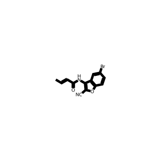 CC=CC(=O)Nc1c(C#N)oc2ccc(Br)cc12